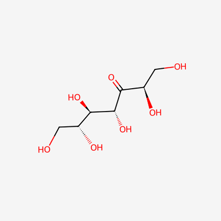 O=C([C@H](O)CO)[C@H](O)[C@H](O)[C@H](O)CO